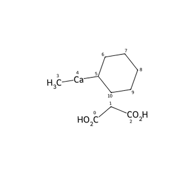 O=C(O)CC(=O)O.[CH3][Ca][CH]1CCCCC1